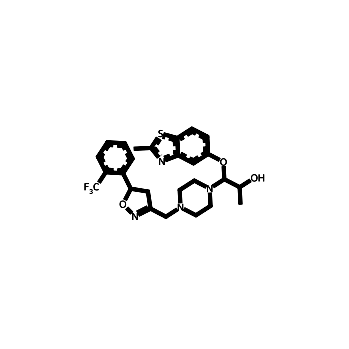 Cc1nc2cc(OC(C(C)O)N3CCN(CC4=NOC(c5ccccc5C(F)(F)F)C4)CC3)ccc2s1